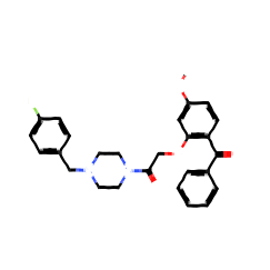 CCCCCCCCOc1ccc(C(=O)c2ccccc2)c(OCC(=O)N2CCN(Cc3ccc(F)cc3)CC2)c1